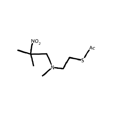 CC(=O)SCCN(C)CC(C)(C)[N+](=O)[O-]